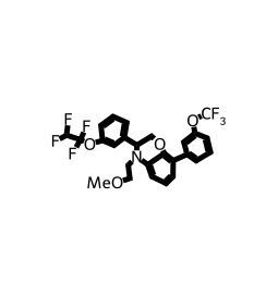 COCCN1c2cccc(-c3cccc(OC(F)(F)F)c3)c2OCC1c1cccc(OC(F)(F)C(F)F)c1